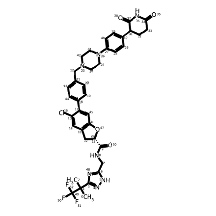 CC(C)(c1n[nH]c(CNC(=O)[C@@H]2Cc3cc(Cl)c(-c4ccc(CN5CCN(c6ccc(C7CCC(=O)NC7=O)cc6)CC5)cc4)cc3O2)n1)C(F)(F)F